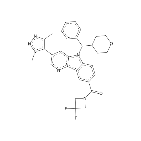 Cc1nnn(C)c1-c1cnc2c3cc(C(=O)N4CC(F)(F)C4)ccc3n(C(c3ccccc3)C3CCOCC3)c2c1